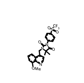 COc1cccc2c(CN3C(=O)N(c4ccc(S(=O)(=O)C(F)(F)F)cc4)C(=O)C3(C)C)ccnc12